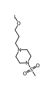 CS(=O)(=O)N1CCN(CCCOI)CC1